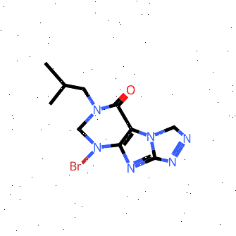 CC(C)CN1CN(Br)c2nc3n(c2C1=O)CN=N3